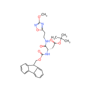 COc1noc(CCNC(=O)[C@H](CC(=O)OC(C)(C)C)NC(=O)OCC2c3ccccc3-c3ccccc32)n1